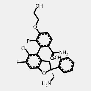 C[C@H]1c2c(cc(F)c(Cl)c2-c2c(C(N)=O)ccc(OCCO)c2F)O[C@]1(CN)c1ccccc1